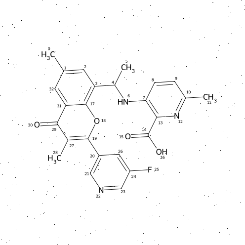 Cc1cc(C(C)Nc2ccc(C)nc2C(=O)O)c2oc(-c3cncc(F)c3)c(C)c(=O)c2c1